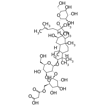 CC(C)=CCC[C@](C)(O[C@@H]1O[C@H](CO)[C@@H](O)[C@H](O)[C@H]1O)[C@H]1CC[C@]2(C)[C@@H]1[C@H](O)C[C@@H]1[C@@]3(C)CC[C@H](O[C@@H]4O[C@H](CO)[C@@H](O)[C@H](O)[C@H]4O[C@@H]4O[C@H](COC(=O)CC(=O)O)[C@@H](O)[C@H](O)[C@H]4O)C(C)(C)[C@@H]3CC[C@]12C